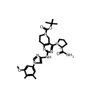 COc1cc(-n2cnc(Nc3nc4c(c(N5CCC[C@H]5C(N)=O)n3)CN(C(=O)OC(C)(C)C)CC4)c2)cc(C)c1C